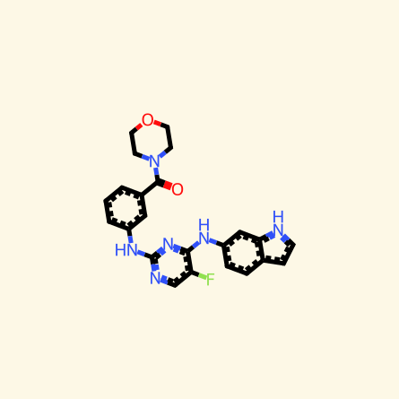 O=C(c1cccc(Nc2ncc(F)c(Nc3ccc4cc[nH]c4c3)n2)c1)N1CCOCC1